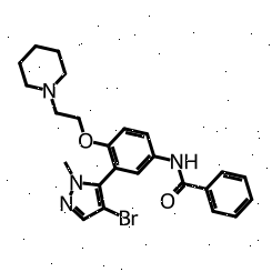 Cn1ncc(Br)c1-c1cc(NC(=O)c2ccccc2)ccc1OCCN1CCCCC1